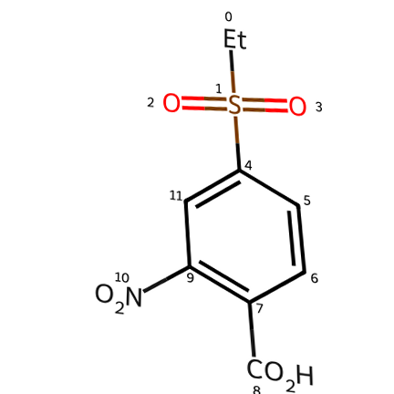 CCS(=O)(=O)c1ccc(C(=O)O)c([N+](=O)[O-])c1